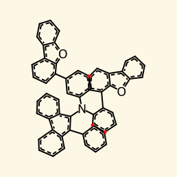 c1ccc(-c2c(N(c3cccc(-c4cccc5c4oc4ccccc45)c3)c3ccccc3-c3cccc4c3oc3ccccc34)c3ccccc3c3ccccc23)cc1